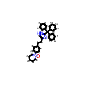 [O-][N+]1(c2ccc(CCc3c[nH]c(C(c4ccccc4)(c4ccccc4)c4ccccc4)n3)cc2)CCCCC1